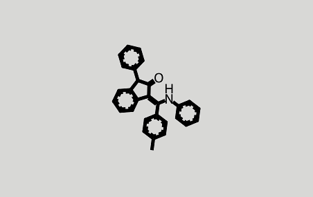 Cc1ccc(/C(Nc2ccccc2)=C2/C(=O)C(c3ccccc3)c3ccccc32)cc1